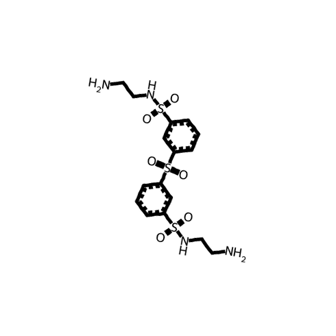 NCCNS(=O)(=O)c1cccc(S(=O)(=O)c2cccc(S(=O)(=O)NCCN)c2)c1